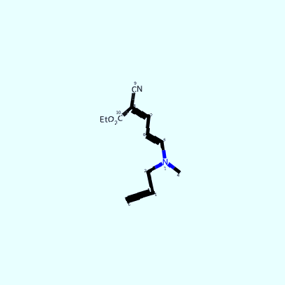 C=CCN(C)C=CC=C(C#N)C(=O)OCC